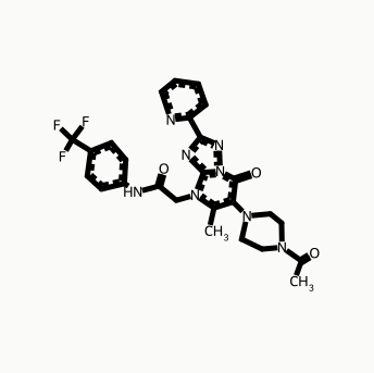 CC(=O)N1CCN(c2c(C)n(CC(=O)Nc3ccc(C(F)(F)F)cc3)c3nc(-c4ccccn4)nn3c2=O)CC1